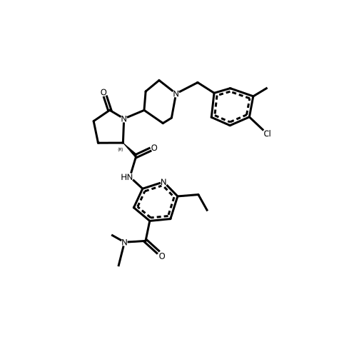 CCc1cc(C(=O)N(C)C)cc(NC(=O)[C@H]2CCC(=O)N2C2CCN(Cc3ccc(Cl)c(C)c3)CC2)n1